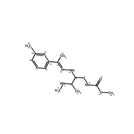 CNC(C)C(CNC(=O)OC)N/N=C(\C)c1cccc(C)n1